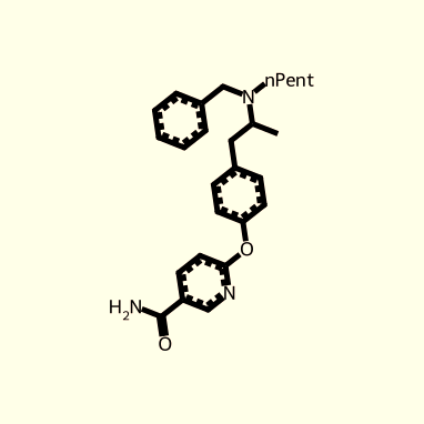 CCCCCN(Cc1ccccc1)C(C)Cc1ccc(Oc2ccc(C(N)=O)cn2)cc1